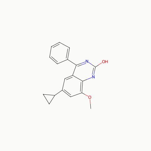 COc1cc(C2CC2)cc2c(-c3ccccc3)nc(O)nc12